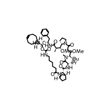 CC[C@H](C)[C@@H]([C@@H](CC(=O)N1CCC[C@H]1[C@H](OC)[C@@H](C)C(=O)N[C@@H](Cc1ccccc1)C(=O)O)OC)N(C)C(=O)[C@@H](NC(=O)[C@@H]1[C@H]2CC[C@H](C2)N1C(=O)CCCCCNC(=O)OC[C@@H]1[C@@H]2CCC#CCC[C@@H]21)C(C)C